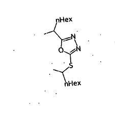 CCCCCCC(C)Sc1nnc(C(C)CCCCCC)o1